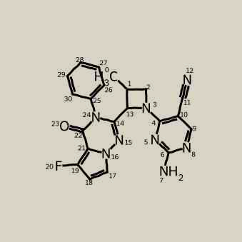 CC1CN(c2nc(N)ncc2C#N)C1c1nn2ccc(F)c2c(=O)n1-c1ccccc1